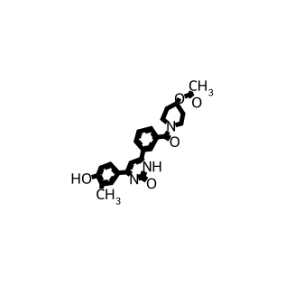 CC(=O)OC1CCN(C(=O)c2cccc(-c3cc(-c4ccc(O)c(C)c4)nc(=O)[nH]3)c2)CC1